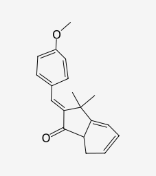 COc1ccc(/C=C2/C(=O)C3CC=CC=C3C2(C)C)cc1